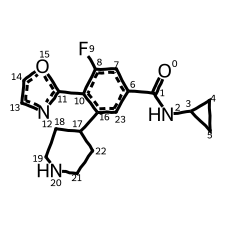 O=C(NC1CC1)c1cc(F)c(-c2ncco2)c(C2CCNCC2)c1